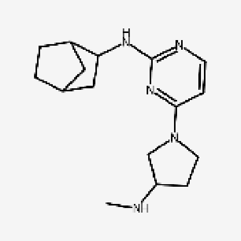 CNC1CCN(c2ccnc(NC3CC4CCC3C4)n2)C1